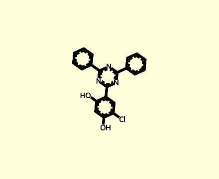 Oc1cc(O)c(-c2nc(-c3ccccc3)nc(-c3ccccc3)n2)cc1Cl